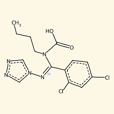 CCCCN(C(=O)O)/C(=N\n1cnnc1)c1ccc(Cl)cc1Cl